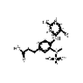 CN(c1cc(CCC(=O)O)ccc1Nc1nc(Cl)ncc1Br)S(C)(=O)=O